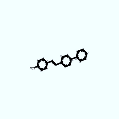 N#Cc1ccc(C=Cc2ccc(-c3ccccc3)cc2)cc1